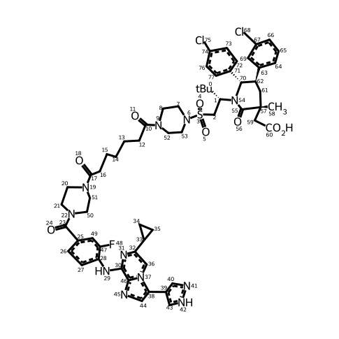 CC(C)(C)[C@@H](CS(=O)(=O)N1CCN(C(=O)CCCCCC(=O)N2CCN(C(=O)c3ccc(Nc4nc(C5CC5)cn5c(-c6cn[nH]c6)cnc45)c(F)c3)CC2)CC1)N1C(=O)[C@@](C)(CC(=O)O)C[C@H](c2cccc(Cl)c2)[C@H]1c1ccc(Cl)cc1